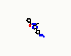 CCc1nc(-c2ccc(N)cc2)cnc1NC(=O)c1ccccc1